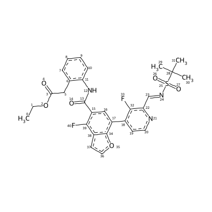 CCOC(=O)Cc1ccccc1NC(=O)c1cc(-c2ccnc(C=NS(=O)(=O)C(C)(C)C)c2F)c2occc2c1F